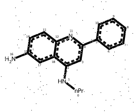 CCCNc1cc(-c2ccccc2)nc2ccc(N)cc12